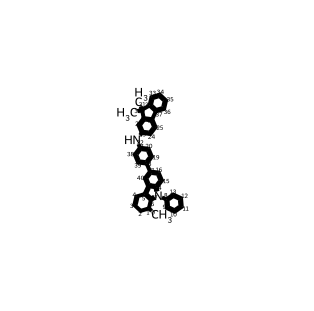 CC1CC=Cc2c1n(-c1ccccc1)c1ccc(-c3ccc(Nc4ccc5c(c4)C(C)(C)c4ccccc4-5)cc3)cc21